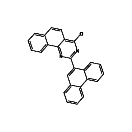 Clc1nc(-c2cc3ccccc3c3ccccc23)nc2c1ccc1ccccc12